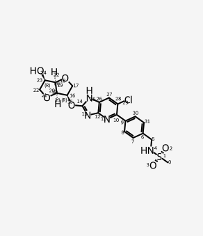 CS(=O)(=O)NCc1ccc(-c2nc3nc(O[C@@H]4CO[C@H]5[C@@H]4OC[C@H]5O)[nH]c3cc2Cl)cc1